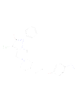 C=Nc1ccc(OCCC2CCN(Cc3c(Br)c(=O)n(-c4ccccc4)n3CC)CC2)cc1